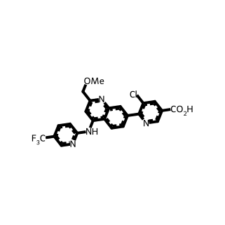 COCc1cc(Nc2ccc(C(F)(F)F)cn2)c2ccc(-c3ncc(C(=O)O)cc3Cl)cc2n1